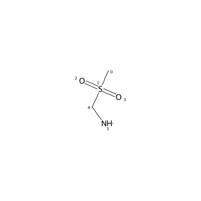 CS(=O)(=O)C[NH]